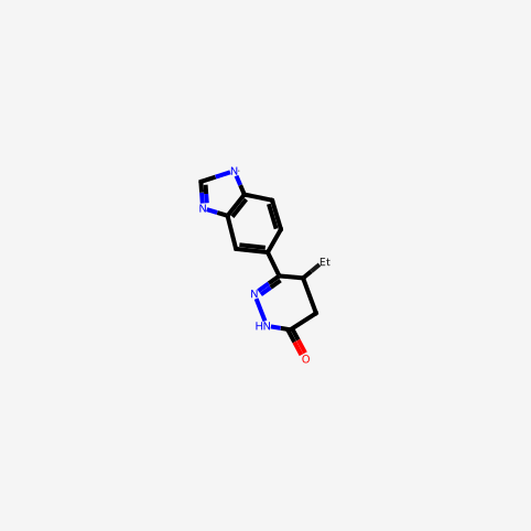 CCC1CC(=O)NN=C1c1ccc2c(c1)N=C[N]2